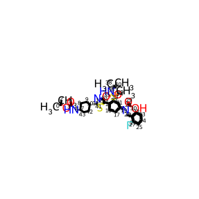 CC(C)OC(=O)N[C@H]1CC[C@H](c2ncc(-c3ccc(N(Cc4ccccc4F)C(=O)O)cc3S(=O)(=O)NC(C)(C)C)s2)CC1